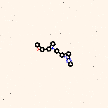 c1ccc2nc3c(nc2c1)c1cccc2c4cc(-c5ccc(-n6c7ccccc7c7cc(-c8ccc9oc%10ccccc%10c9c8)ccc76)cc5)ccc4n3c21